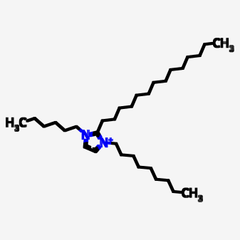 CCCCCCCCCCCCCCc1n(CCCCCC)cc[n+]1CCCCCCCCC